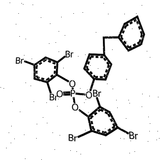 O=P(Oc1ccc(Cc2ccccc2)cc1)(Oc1c(Br)cc(Br)cc1Br)Oc1c(Br)cc(Br)cc1Br